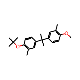 COc1ccc(C(C)(C)c2ccc(OC(C)(C)C)c(C)c2)cc1C